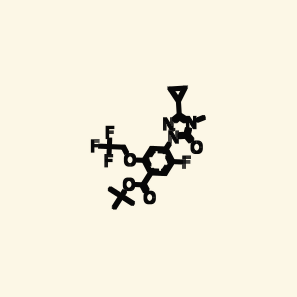 Cn1c(C2CC2)nn(-c2cc(OCC(F)(F)F)c(C(=O)OC(C)(C)C)cc2F)c1=O